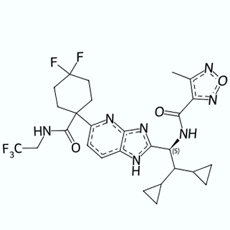 Cc1nonc1C(=O)N[C@H](c1nc2nc(C3(C(=O)NCC(F)(F)F)CCC(F)(F)CC3)ccc2[nH]1)C(C1CC1)C1CC1